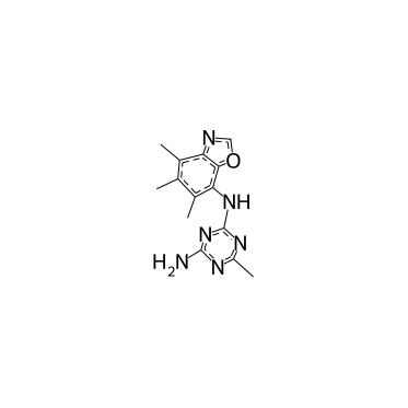 Cc1nc(N)nc(Nc2c(C)c(C)c(C)c3ncoc23)n1